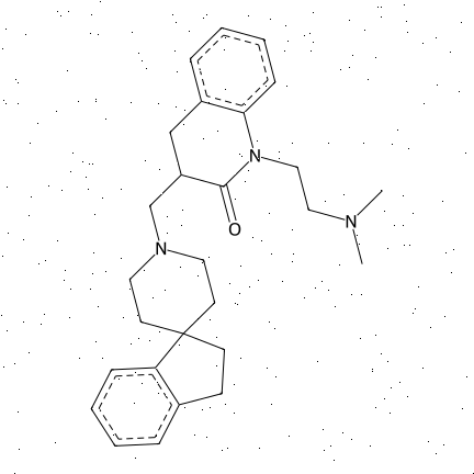 CN(C)CCN1C(=O)C(CN2CCC3(CCc4ccccc43)CC2)Cc2ccccc21